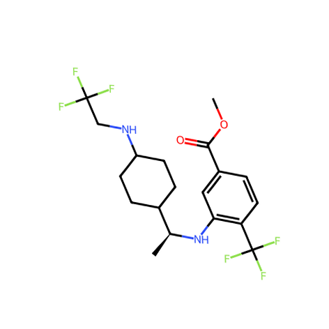 COC(=O)c1ccc(C(F)(F)F)c(N[C@@H](C)C2CCC(NCC(F)(F)F)CC2)c1